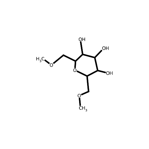 COCC1OC(COC)C(O)C(O)C1O